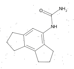 NC(=O)Nc1cc2c(c3c1CCC3)CCC2